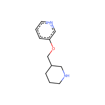 c1cncc(OCC2CCCNC2)c1